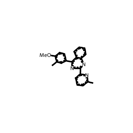 COc1ccc(-c2nc(-c3cccc(C)n3)nc3ccccc23)cc1C